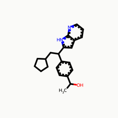 CC(O)c1ccc(C(CC2CCCC2)c2cc3cccnc3[nH]2)cc1